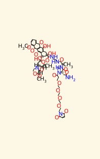 COc1cccc2c1C(=O)c1c(O)c3c(c(O)c1C2=O)C[C@@](O)(C(=O)NCCNC(=O)[C@H](C)NC(=O)[C@H](CC(N)=O)NC(=O)CCOCCOCCOCCOCCN1C(=O)C=CC1=O)C[C@@H]3O[C@H]1C[C@H]2[C@H](O[C@@H]3[C@@H](OC)OCCN32)[C@H](C)O1